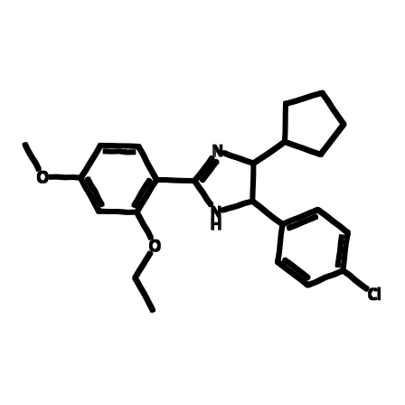 CCOc1cc(OC)ccc1C1=NC(C2CCCC2)C(c2ccc(Cl)cc2)N1